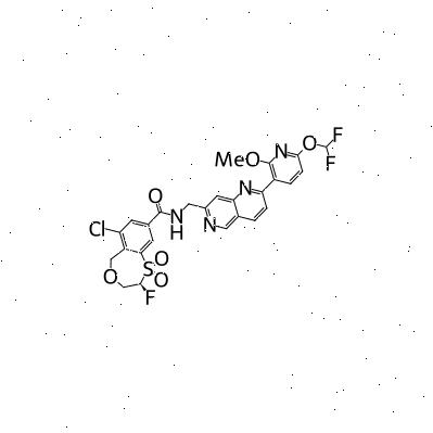 COc1nc(OC(F)F)ccc1-c1ccc2cnc(CNC(=O)c3cc(Cl)c4c(c3)S(=O)(=O)[C@@H](F)COC4)cc2n1